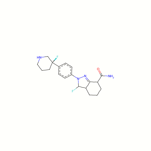 NC(=O)C1CCCC2C1=NN(c1ccc([C@]3(F)CCCNC3)cc1)C2F